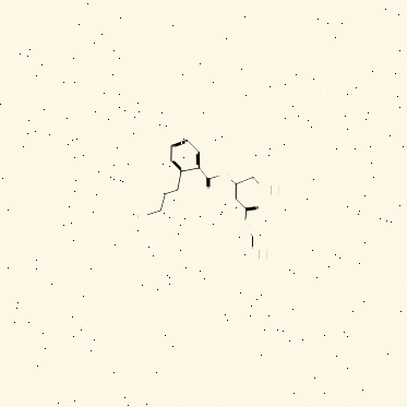 CCCCc1ccccc1C(=O)OC(CC)CC(=O)OCC